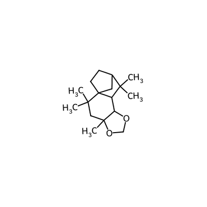 CC12CC(C)(C)C34CCC(C3)C(C)(C)C4C1OCO2